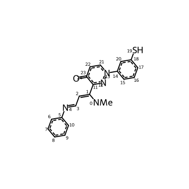 CN/C(=C\C=N\c1ccccc1)c1nn(-c2cccc(S)c2)ccc1=O